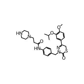 COc1ccc(C2=NN(Cc3ccc(NC(=O)CCN4CCNCC4)cc3)C(=O)SC2)cc1OC(C)C